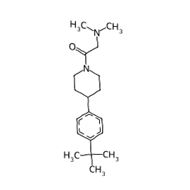 CN(C)CC(=O)N1CCC(c2ccc(C(C)(C)C)cc2)CC1